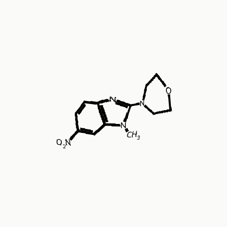 Cn1c(N2CCOCC2)nc2ccc([N+](=O)[O-])cc21